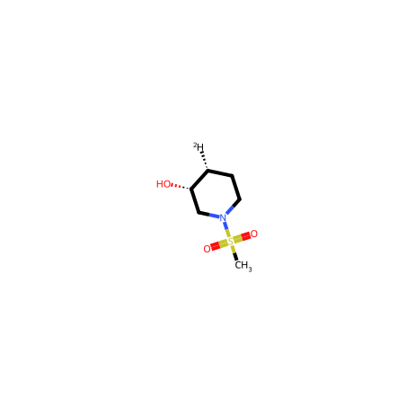 [2H][C@@H]1CCN(S(C)(=O)=O)C[C@@H]1O